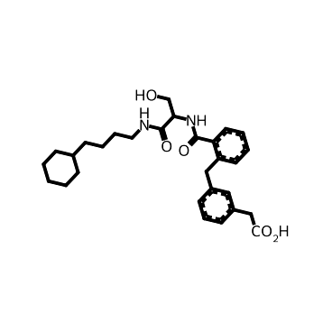 O=C(O)Cc1cccc(Cc2ccccc2C(=O)NC(CO)C(=O)NCCCCC2CCCCC2)c1